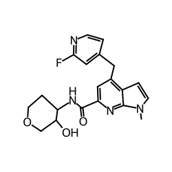 Cn1ccc2c(Cc3ccnc(F)c3)cc(C(=O)NC3CCOCC3O)nc21